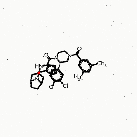 Cc1cc(C)cc(C(=O)N2CCN(C(=O)CNC3CC4CCC(C3)N4Cc3cccs3)[C@H](c3ccc(Cl)c(Cl)c3)C2)c1